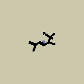 C=C(F)/C=C/C(C)[C@H](C)F